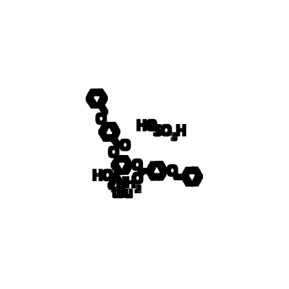 CC(C)(C)CC(N)(O)c1cc(OC(=O)c2ccc(OCc3ccccc3)cc2)cc(OC(=O)c2ccc(OCc3ccccc3)cc2)c1.O=S(=O)(O)O